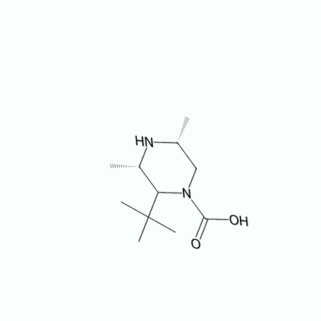 C[C@@H]1CN(C(=O)O)C(C(C)(C)C)[C@H](C)N1